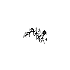 CC(C(=O)Nc1ccnc(-c2cnc(C(F)(F)F)nc2)n1)n1cnc2c1C(=O)N(Cc1ccccn1)C(O)N2C